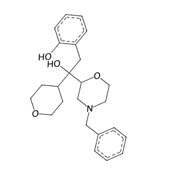 Oc1ccccc1CC(O)(C1CCOCC1)C1CN(Cc2ccccc2)CCO1